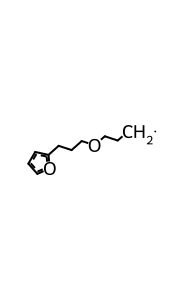 [CH2]CCOCCCc1ccco1